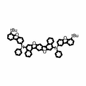 CC(C)(C)c1cccc2c1oc1ccc(N(c3ccccc3)c3cc4oc5cc6c(cc5c4c4ccccc34)oc3cc(N(c4ccccc4)c4ccc5oc7c(C(C)(C)C)cccc7c5c4)c4ccccc4c36)cc12